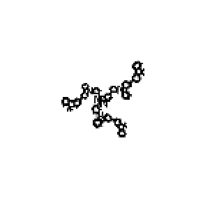 CC1(C)c2ccccc2-c2cc(-c3ccc4c(c3)c3ccccc3n4-c3cccc(-c4ccc5nc(-c6cccc(-n7c8ccccc8c8cc(-c9ccc%10c(c9)-c9ccccc9C%10(C)C)ccc87)c6)nc(-c6cccc(-n7c8ccccc8c8cc(-c9ccc%10c(c9)-c9ccccc9C%10(C)C)ccc87)c6)c5c4)c3)ccc21